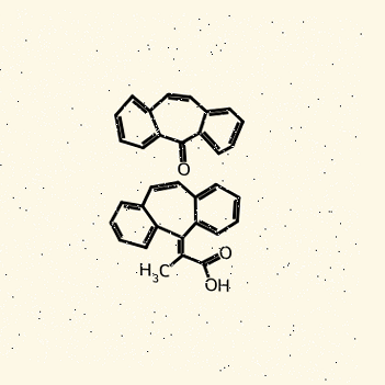 CC(C(=O)O)=C1c2ccccc2C=Cc2ccccc21.O=c1c2ccccc2ccc2ccccc12